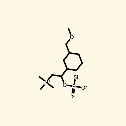 COCC1CCCC(C(C[N+](C)(C)C)OP([O-])(=S)S)C1